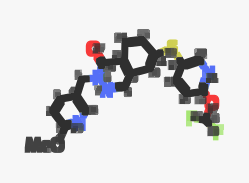 COc1ccc(Cn2ncc3cc(Sc4ccc(OC(F)F)nc4)ccc3c2=O)cn1